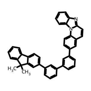 CC1(C)c2ccccc2-c2ccc(-c3cccc(-c4cccc(-c5ccc6c(ccc7nc8ccccc8n76)c5)c4)c3)cc21